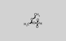 CCOCC.[2H]S(=O)(=O)O